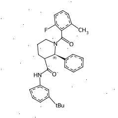 Cc1cccc(F)c1C(=O)N1CCCC(C(=O)Nc2cccc(C(C)(C)C)c2)[C@@H]1c1ccccc1